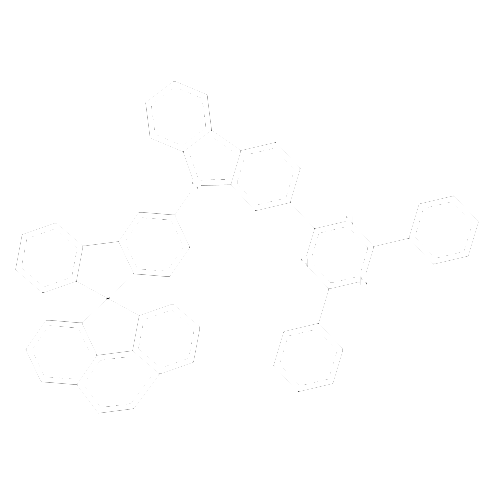 c1ccc(-c2nc(-c3ccccc3)nc(-c3ccc4c5ccccc5n(-c5ccc6c(c5)-c5ccccc5C65c6cccc7ccc8cccc5c8c67)c4c3)n2)cc1